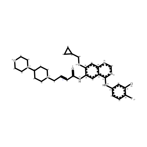 O=C(/C=C/CN1CCC(N2CCOCC2)CC1)Nc1cc2c(Nc3ccc(F)c(Cl)c3)ncnc2cc1OCC1CC1